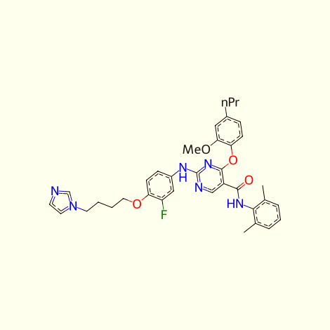 CCCc1ccc(Oc2nc(Nc3ccc(OCCCCn4ccnc4)c(F)c3)ncc2C(=O)Nc2c(C)cccc2C)c(OC)c1